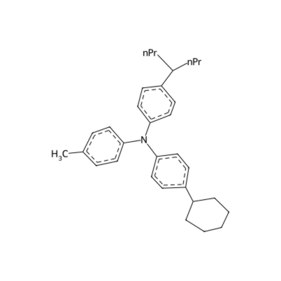 CCCC(CCC)c1ccc(N(c2ccc(C)cc2)c2ccc(C3CCCCC3)cc2)cc1